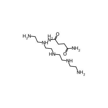 NC(=O)CCC(N)=O.NCCNCCNCCNCCN